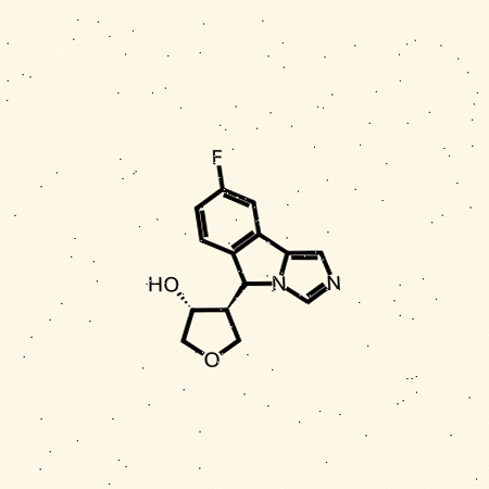 O[C@H]1COC[C@@H]1C1c2ccc(F)cc2-c2cncn21